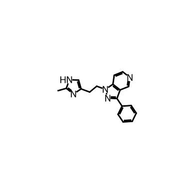 Cc1nc(CCn2nc(-c3ccccc3)c3cnccc32)c[nH]1